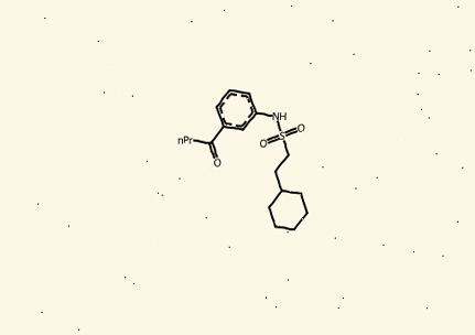 CCCC(=O)c1cccc(NS(=O)(=O)CCC2CCCCC2)c1